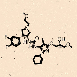 COCCN1C[C@@H](NC(=O)Nc2c(C)c(OC[C@@H](O)COC)nn2C2=CCCC=C2)[C@H](c2ccc(F)c(F)c2)C1